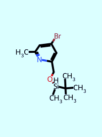 Cc1cc(Br)cc(CO[SiH](C)C(C)(C)C)n1